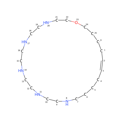 [CH]1CC=CCCCCNCCNCCNCCNCCNCCOCC1